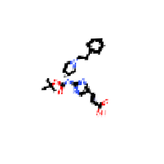 CC(C)(C)OC(=O)N(c1ncc(/C=C/C(=O)O)cn1)[C@@H]1CCN(CCc2ccccc2)C1